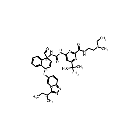 CC[C@H](C)c1nnc2ccc(O[C@@H]3C=C[C@](C=O)(NC(=O)Nc4cc(C(C)(C)C)nc(C(=O)NCCN(C)CC)n4)c4ccccc43)cn12